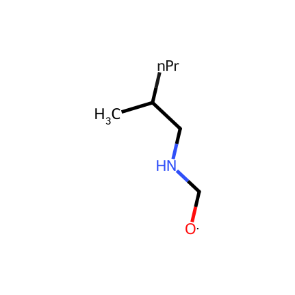 CCCC(C)CNC[O]